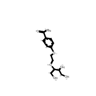 CC(C)(C)C(=O)c1ccc(OCCOC(CO)C(O)CO)cc1